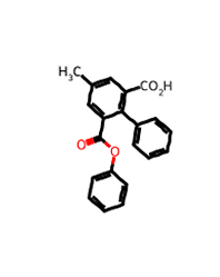 Cc1cc(C(=O)O)c(-c2ccccc2)c(C(=O)Oc2ccccc2)c1